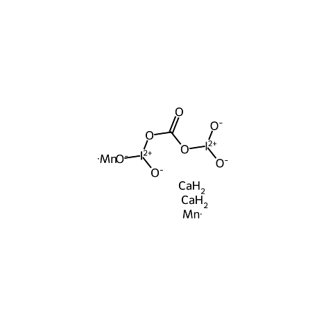 O=C(O[I+2]([O-])[O-])O[I+2]([O-])[O-].[CaH2].[CaH2].[Mn].[Mn]